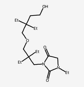 CCN1CC(=O)N(CC(CC)(CC)COCC(CC)(CC)CCO)C1=O